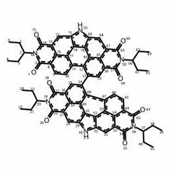 CCC(CC)n1c(=O)c2ccc3c4c(-c5cc6c(=O)n(C(CC)CC)c(=O)c7cc8[nH]c9cc%10c(=O)n(C(CC)CC)c(=O)c%11ccc%12c5c(c67)c8c9c%12c%11%10)cc5c(=O)n(C(CC)CC)c(=O)c6cc7[nH]c8cc(c1=O)c2c3c8c7c4c56